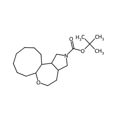 CC(C)(C)OC(=O)N1CC2CCOC3CCCCCCCC3C2C1